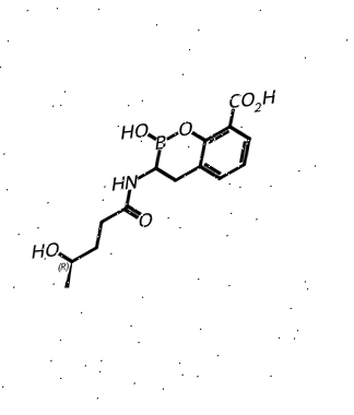 C[C@@H](O)CCC(=O)NC1Cc2cccc(C(=O)O)c2OB1O